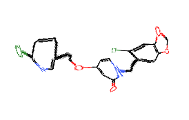 O=c1cc(OCc2ccc(Cl)nc2)ccn1Cc1cc2c(cc1Cl)OCO2